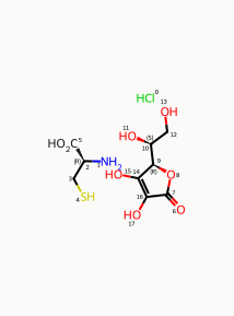 Cl.N[C@@H](CS)C(=O)O.O=C1O[C@H]([C@@H](O)CO)C(O)=C1O